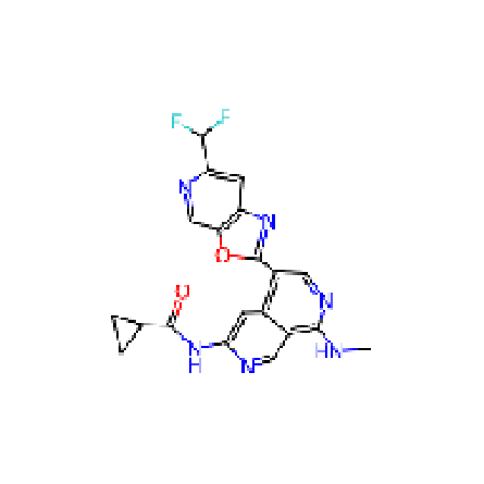 CNc1ncc(-c2nc3cc(C(F)F)ncc3o2)c2cc(NC(=O)C3CC3)ncc12